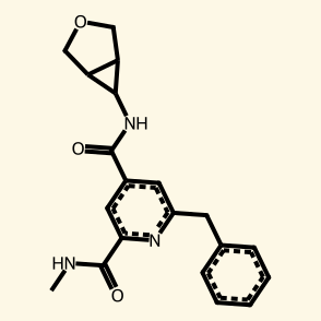 CNC(=O)c1cc(C(=O)NC2C3COCC32)cc(Cc2ccccc2)n1